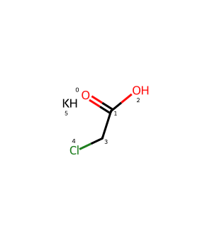 O=C(O)CCl.[KH]